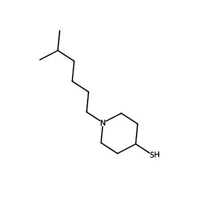 CC(C)CCCCN1CCC(S)CC1